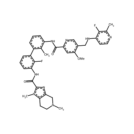 COc1cc(C(=O)Nc2cccc(-c3cccc(NC(=O)c4nc5c(n4C)CCN(C)C5)c3F)c2C)ncc1CNc1ccnc(C)c1F